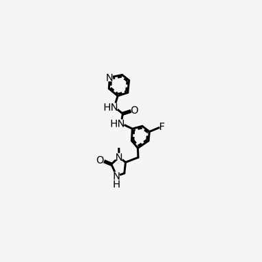 CN1C(=O)NCC1Cc1cc(F)cc(NC(=O)Nc2cccnc2)c1